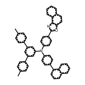 Cc1ccc(-c2cc(-c3ccc(C)cc3)cc(N(c3ccc(-c4nc5c(ccc6ccccc65)o4)cc3)c3ccc(-c4cccc5ccccc45)cc3)c2)cc1